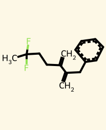 C=C(CCC(C)(F)F)C(=C)Cc1ccccc1